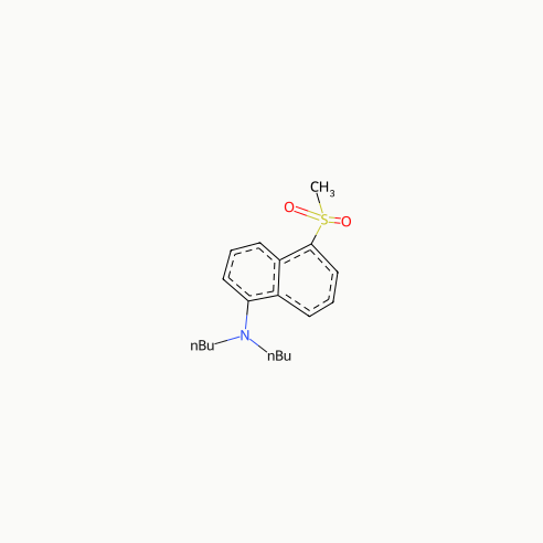 CCCCN(CCCC)c1cccc2c(S(C)(=O)=O)cccc12